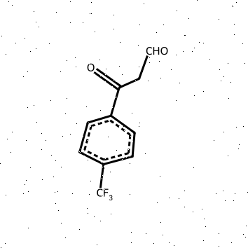 O=CCC(=O)c1ccc(C(F)(F)F)cc1